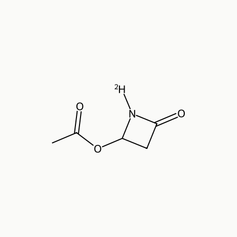 [2H]N1C(=O)CC1OC(C)=O